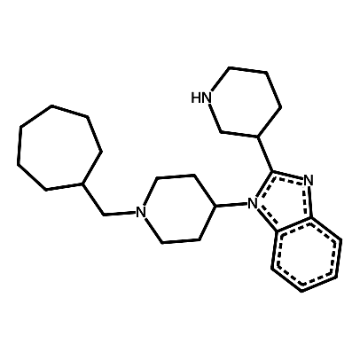 c1ccc2c(c1)nc(C1CCCNC1)n2C1CCN(CC2CCCCCC2)CC1